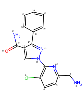 NCc1ccc(Cl)c(-n2cc(C(N)=O)c(-c3ccccc3)n2)n1